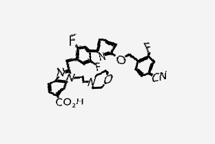 N#Cc1ccc(COc2cccc(-c3cc(F)c(Cc4nc5ccc(C(=O)O)cc5n4CCN4CCOCC4)cc3F)n2)c(F)c1